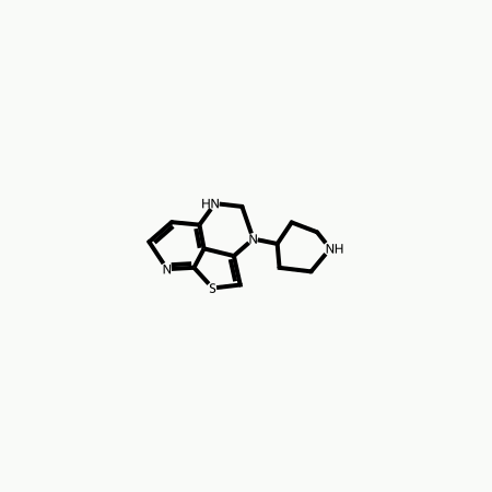 c1cc2c3c(csc3n1)N(C1CCNCC1)CN2